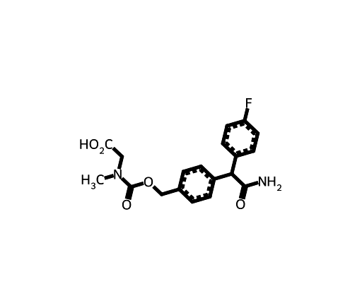 CN(CC(=O)O)C(=O)OCc1ccc(C(C(N)=O)c2ccc(F)cc2)cc1